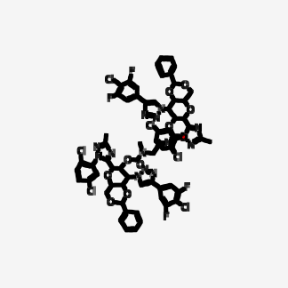 Cc1nc(C2OC3COC(c4ccccc4)OC3C(n3cc(-c4cc(F)c(Cl)c(F)c4)nn3)C2OC(=O)N(C)CCN(C)C(=O)OC2C(c3nc(C)nn3-c3cc(Cl)ccc3Cl)OC3COC(c4ccccc4)OC3C2n2cc(-c3cc(F)c(Cl)c(F)c3)nn2)n(-c2cc(Cl)ccc2Cl)n1